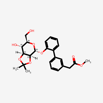 COC(=O)Cc1cccc(-c2ccccc2O[C@H]2O[C@H](CO)[C@@H](O)[C@@H]3OC(C)(C)O[C@H]23)c1